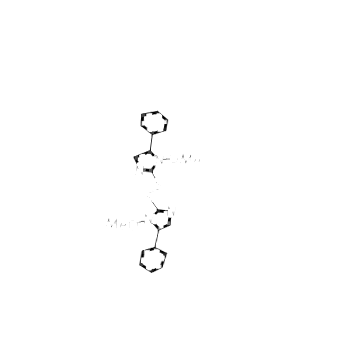 COn1c(-c2ccccc2)cnc1SSc1ncc(-c2ccccc2)n1OC